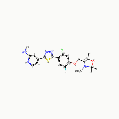 CC(C)Nc1cc(-c2nnc(-c3cc(F)c(OCC4C(C)OC(C)(C)N4C(=O)O)cc3Cl)s2)ccn1